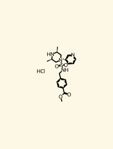 COC(=O)c1ccc(CNS(=O)(=O)[N+]2(c3cccnc3)C[C@@H](C)N[C@@H](C)C2)cc1.Cl